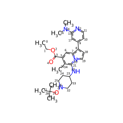 CCOC(=O)c1cc2c(-c3ccnc(N(C)C)c3)ccn2c(NC2CCN(OC(C)(C)C)CC2)c1C